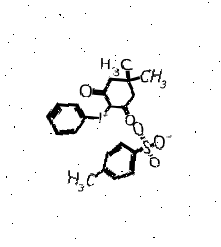 CC1(C)CC(=O)C([I+]c2ccccc2)C(=O)C1.Cc1ccc(S(=O)(=O)[O-])cc1